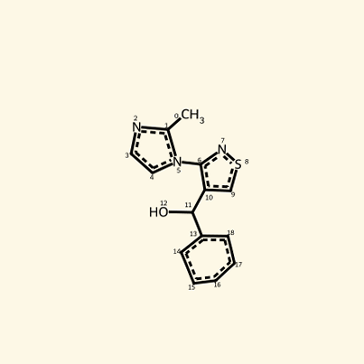 Cc1nccn1-c1nscc1C(O)c1ccccc1